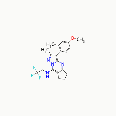 COc1ccc(-c2c(C)nn3c(NCC(F)(F)F)c4c(nc23)CCC4)c(C)c1